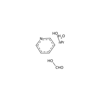 CCCO.O.O=CO.c1ccncc1